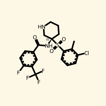 Cc1c(Cl)cccc1S(=O)(=O)[C@@]1(NC(=O)c2ccc(F)c(C(F)(F)F)c2)CCCNC1